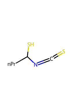 CCCC(S)N=C=S